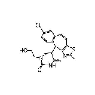 Cc1nc2c(s1)C=Cc1cc(Cl)ccc1C2c1cn(CCO)c(=O)[nH]c1=S